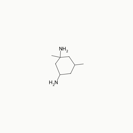 CC1CC(N)CC(C)(N)C1